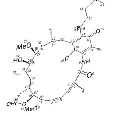 CO[C@H]1/C=C\C=C(/C)C(=O)NC2=C(C)C(=O)C(NCCN(C)C)=C(C[C@@H](C)C[C@H](OC)[C@H](O)[C@@H](C)/C=C(\C)[C@@H]1OC=O)C2=O